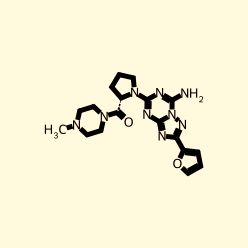 CN1CCN(C(=O)[C@@H]2CCCN2c2nc(N)n3nc(-c4ccco4)nc3n2)CC1